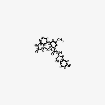 Cc1cc(C(=O)NC(CN)Cc2cccc(F)c2)cc(-c2ccnc3c2[C@@H](C)CC(=O)N3)c1